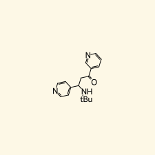 CC(C)(C)NC(CC(=O)c1cccnc1)c1ccncc1